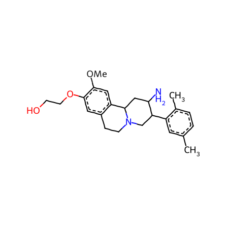 COc1cc2c(cc1OCCO)CCN1CC(c3cc(C)ccc3C)C(N)CC21